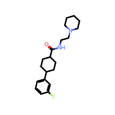 O=C(NCCN1CCCCC1)C1C[CH]C(c2cccc(F)c2)CC1